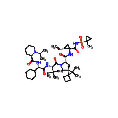 C=C[C@@H]1C[C@]1(NC(=O)[C@@H]1C[C@@]2(CN1C(=O)[C@@H](NC(=O)[C@@H](NC(=O)[C@H]1CCCCN1C(C)C)C1CCCCC1)C(C)(C)C)C(C)(C)C21CCC1)C(=O)NS(=O)(=O)C1(C)CC1